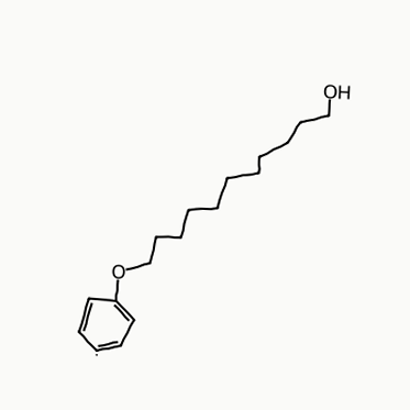 OCCCCCCCCCCCOc1cc[c]cc1